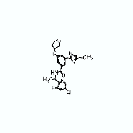 Cc1cnc(-c2cc(OC3CCOC3)cc(C(=O)NC(C)c3ncc(Cl)cc3F)c2)s1